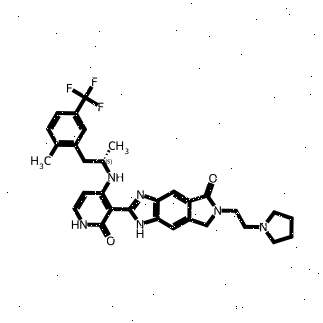 Cc1ccc(C(F)(F)F)cc1C[C@H](C)Nc1cc[nH]c(=O)c1-c1nc2cc3c(cc2[nH]1)CN(CCN1CCCC1)C3=O